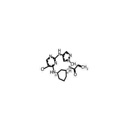 C=CC(=O)N[C@@H]1CCC[C@H](Nc2nc(Nc3cnn(C)c3)ncc2Cl)C1